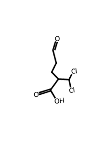 O=CCCC(C(=O)O)C(Cl)Cl